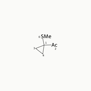 CSC1(C(C)=O)CC1